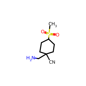 CS(=O)(=O)C1CCC(C#N)(CN)CC1